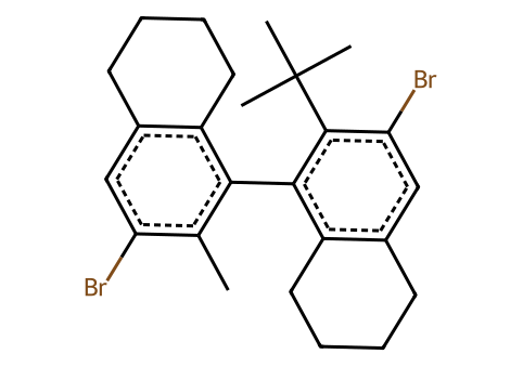 Cc1c(Br)cc2c(c1-c1c3c(cc(Br)c1C(C)(C)C)CCCC3)CCCC2